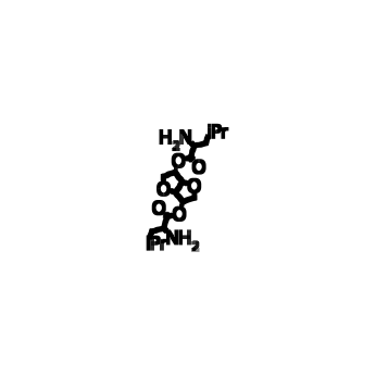 CC(C)CC(N)C(=O)O[C@H]1COC2C1OC[C@H]2OC(=O)C(N)CC(C)C